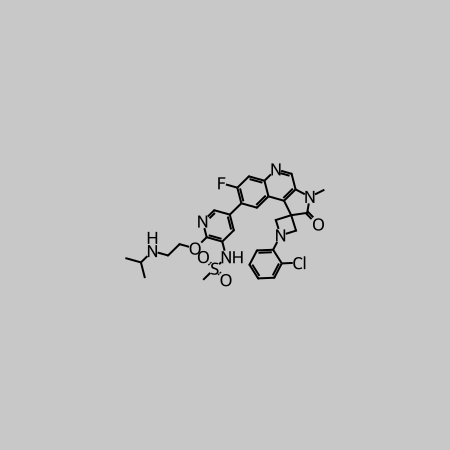 CC(C)NCCOc1ncc(-c2cc3c4c(cnc3cc2F)N(C)C(=O)C42CN(c3ccccc3Cl)C2)cc1NS(C)(=O)=O